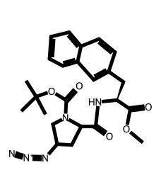 COC(=O)[C@H](Cc1ccc2ccccc2c1)NC(=O)C1CC(N=[N+]=[N-])CN1C(=O)OC(C)(C)C